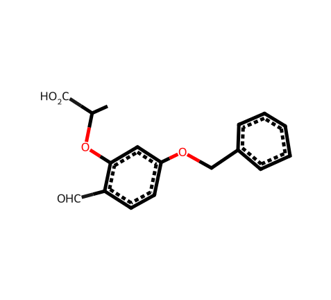 CC(Oc1cc(OCc2ccccc2)ccc1C=O)C(=O)O